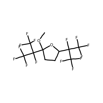 COC1(C(F)(C(F)(F)F)C(F)(F)F)CCC(C(F)(C(F)(F)F)C(F)(F)F)O1